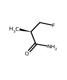 C[C@@H](CF)C(N)=O